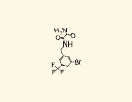 NC(=O)C(=O)NCc1cc(Br)cc(C(F)(F)F)c1